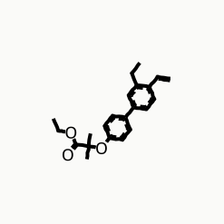 C=Cc1ccc(-c2ccc(OC(C)(C)C(=O)OCC)cc2)cc1CC